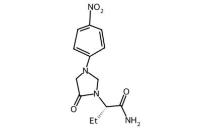 CC[C@@H](C(N)=O)N1CN(c2ccc([N+](=O)[O-])cc2)CC1=O